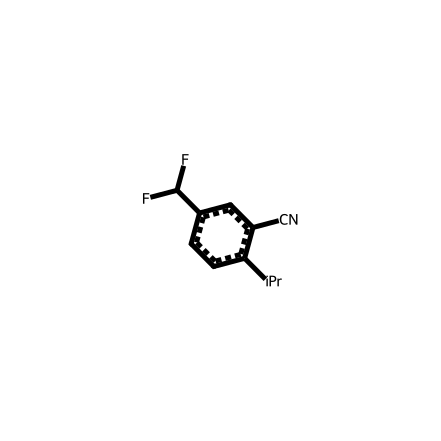 CC(C)c1ccc(C(F)F)cc1C#N